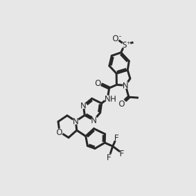 CC(=O)N1Cc2cc([S+](C)[O-])ccc2C1C(=O)Nc1cnc(N2CCOCC2c2ccc(C(F)(F)F)cc2)nc1